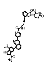 CC(C)c1cc(-c2cccc3cc(-c4ccc(C(=O)NCCC#Cc5cccc6c5CN(C5CCC(=O)NC5=O)C6=O)nc4)ncc23)cc2c(C(=O)N(C)C)c[nH]c12